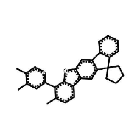 Cc1cnc(-c2c(C)ccc3c2oc2cc4c(cc23)C2(CCCC2)c2ccccc2-4)cc1C